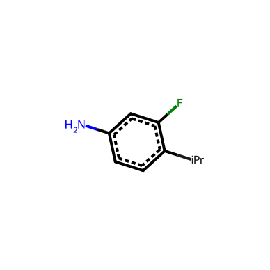 CC(C)c1ccc(N)cc1F